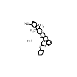 CC1CN(CC(Cc2ccccc2)C(=O)NCC(=O)OC2CCCCC2)CCC1(C)c1cccc(O)c1.Cl